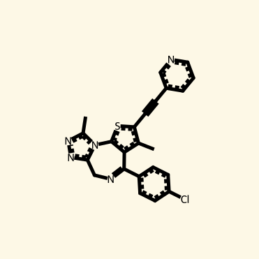 Cc1c(C#Cc2cccnc2)sc2c1C(c1ccc(Cl)cc1)=NCc1nnc(C)n1-2